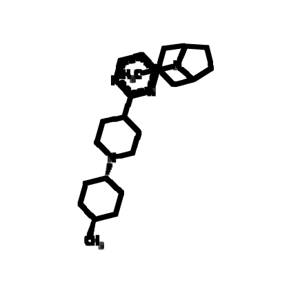 CN1CC2CCC(C1)N2c1ccnc(C2CCN([C@H]3CC[C@H](C)CC3)CC2)n1